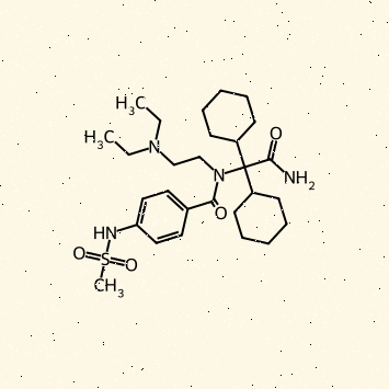 CCN(CC)CCN(C(=O)c1ccc(NS(C)(=O)=O)cc1)C(C(N)=O)(C1CCCCC1)C1CCCCC1